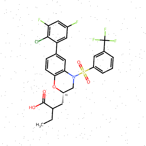 CCC(C[C@H]1CN(S(=O)(=O)c2cccc(C(F)(F)F)c2)c2cc(-c3cc(F)cc(F)c3Cl)ccc2O1)C(=O)O